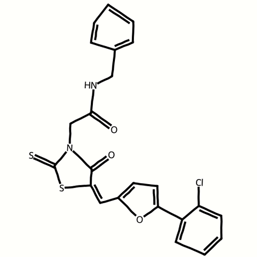 O=C(CN1C(=O)C(=Cc2ccc(-c3ccccc3Cl)o2)SC1=S)NCc1ccccc1